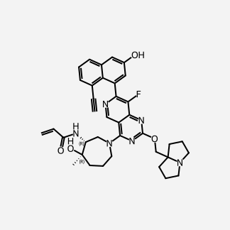 C#Cc1cccc2cc(O)cc(-c3ncc4c(N5CCC[C@@](C)(O)[C@H](NC(=O)C=C)C5)nc(OCC56CCCN5CCC6)nc4c3F)c12